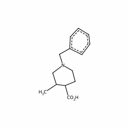 CC1CN(Cc2ccccc2)CCC1C(=O)O